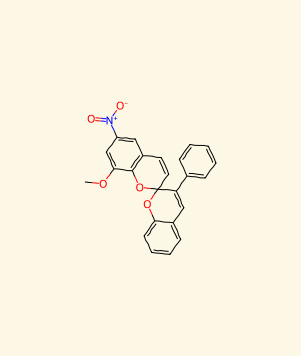 COc1cc([N+](=O)[O-])cc2c1OC1(C=C2)Oc2ccccc2C=C1c1ccccc1